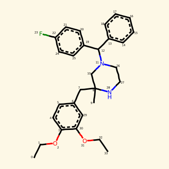 CCOc1ccc(CC2(C)CN(C(c3ccccc3)c3ccc(F)cc3)CCN2)cc1OCC